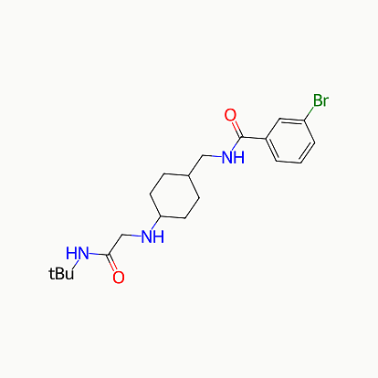 CC(C)(C)NC(=O)CNC1CCC(CNC(=O)c2cccc(Br)c2)CC1